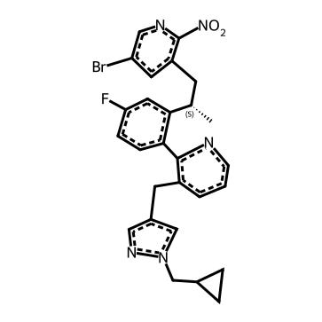 C[C@@H](Cc1cc(Br)cnc1[N+](=O)[O-])c1cc(F)ccc1-c1ncccc1Cc1cnn(CC2CC2)c1